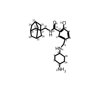 NC1CCC(NCc2ccc(Cl)c(C(=O)NCC34CC5CC(CC(C5)C3)C4)c2)CC1